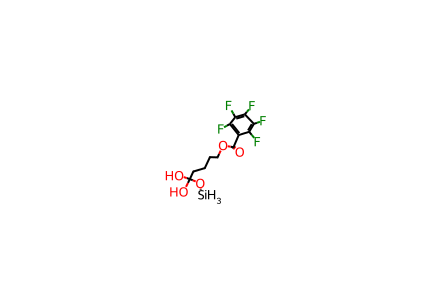 O=C(OCCCCC(O)(O)O[SiH3])c1c(F)c(F)c(F)c(F)c1F